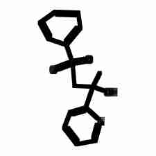 CC(O)(CS(=O)(=O)c1ccccc1)c1ccccn1